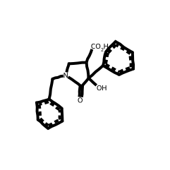 O=C(O)C1CN(Cc2ccccc2)C(=O)C1(O)c1ccccc1